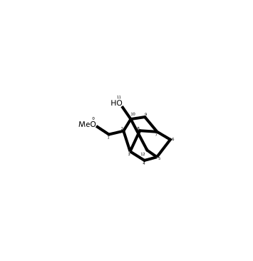 COC[C]1C2CC3CC(C2)CC1(O)C3